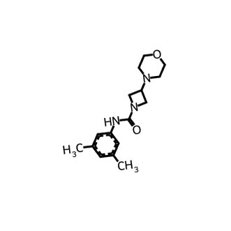 Cc1cc(C)cc(NC(=O)N2CC(N3CCOCC3)C2)c1